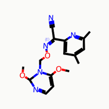 COC1=CC=NC(OC)N1CO/N=C(/C#N)c1cc(C)cc(C)n1